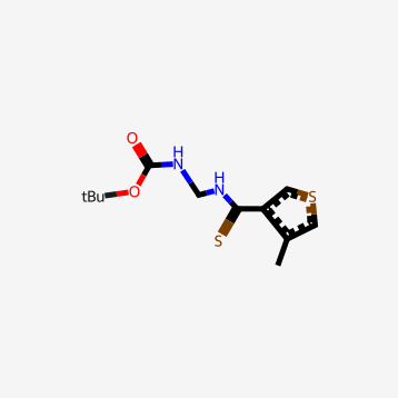 Cc1cscc1C(=S)NCNC(=O)OC(C)(C)C